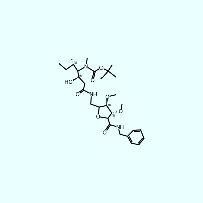 CC[C@H](C)C([C@H](O)CC(=O)NCC1OC(C(=O)NCc2ccccc2)[C@@H](OC)[C@@H]1OC)N(C)C(=O)OC(C)(C)C